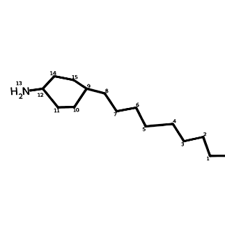 CCCCCCCCCC1CCC(N)CC1